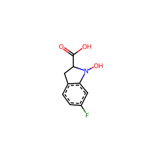 O=C(O)C1Cc2ccc(F)cc2N1O